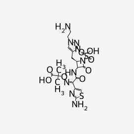 CC(C)(ON=C(C(=O)N[C@@H]1C(=O)N(S(=O)(=O)O)[C@@H]1Cc1cn(CCN)nn1)c1csc(N)n1)C(=O)O